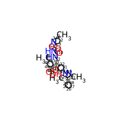 Cc1ccc(S(=O)(=O)NC(=O)NCCc2ccc(-n3nc(C)c(-c4ccccc4)c3C)cc2)nc1.Cc1ccc(S(=O)(=O)O)cc1